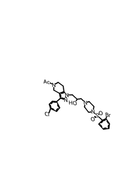 CC(=O)N1CCc2c(c(-c3ccc(Cl)cc3)nn2CC(O)CN2CCN(S(=O)(=O)c3ccccc3Br)CC2)C1